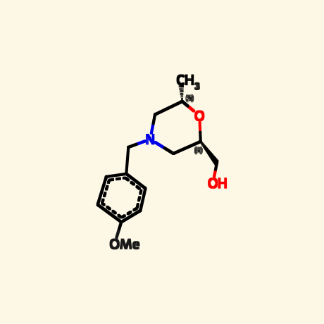 COc1ccc(CN2C[C@H](CO)O[C@@H](C)C2)cc1